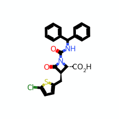 O=C(O)[C@@H]1[C@@H](Cc2ccc(Cl)s2)C(=O)N1C(=O)NC(c1ccccc1)c1ccccc1